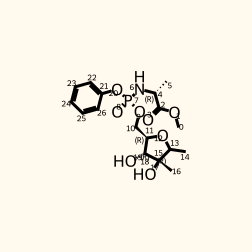 COC(=O)[C@@H](C)NP(=O)(OC[C@H]1OC(C)[C@](C)(O)[C@@H]1O)Oc1ccccc1